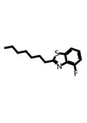 CCCCCCCc1nc2c(F)cccc2s1